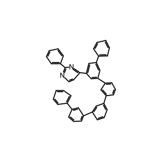 c1ccc(-c2cccc(-c3cccc(-c4cccc(-c5cc(-c6ccccc6)cc(-c6ccnc(-c7ccccc7)n6)c5)c4)c3)c2)cc1